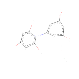 Cl.Nc1cc(O)cc(O)c1.O.O.Oc1cc(O)cc(O)c1